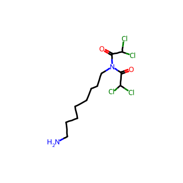 NCCCCCCCCN(C(=O)C(Cl)Cl)C(=O)C(Cl)Cl